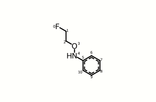 FCCONc1ccccc1